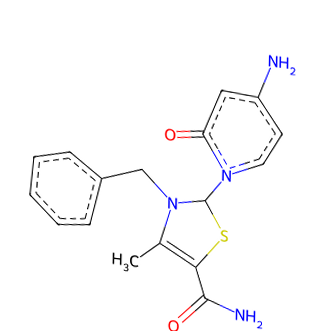 CC1=C(C(N)=O)SC(n2ccc(N)cc2=O)N1Cc1ccccc1